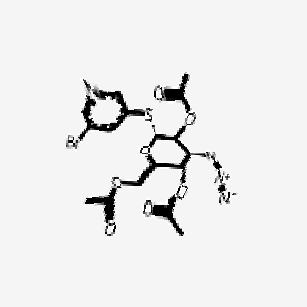 CC(=O)OCC1O[C@H](Sc2cncc(Br)c2)C(OC(C)=O)[C@@H](N=[N+]=[N-])[C@H]1OC(C)=O